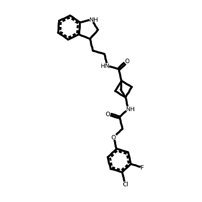 O=C(COc1ccc(Cl)c(F)c1)NC12CC(C(=O)NCCC3CNc4ccccc43)(C1)C2